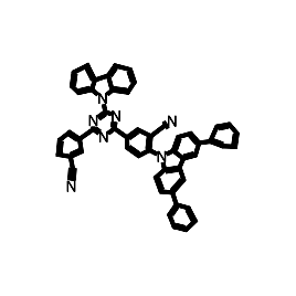 N#Cc1cccc(-c2nc(-c3ccc(-n4c5ccc(-c6ccccc6)cc5c5cc(-c6ccccc6)ccc54)c(C#N)c3)nc(-n3c4ccccc4c4ccccc43)n2)c1